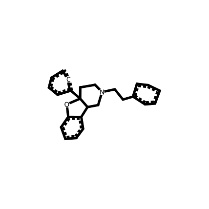 c1ccc(CCN2CCC3(c4ccccc4)Oc4ccccc4C3C2)cc1